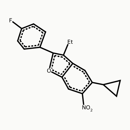 [CH2]Cc1c(-c2ccc(F)cc2)oc2cc([N+](=O)[O-])c(C3CC3)cc12